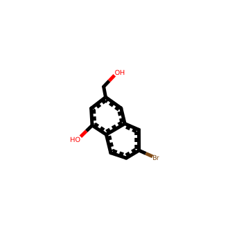 OCc1cc(O)c2ccc(Br)cc2c1